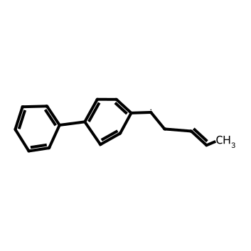 C/C=C/C[CH]c1ccc(-c2ccccc2)cc1